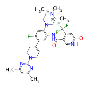 Cc1cc(C)nc(N2CC=C(c3cc(NC(=O)c4c[nH]c(=O)cc4C(F)(F)F)c(N4C[C@@H](C)N(C)[C@@H](C)C4)cc3F)CC2)n1